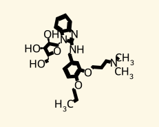 CCCOc1ccc(CNc2nc3ccccc3n2[C@@H]2O[C@H](CO)[C@@H](O)[C@H]2O)cc1OCCCN(C)C